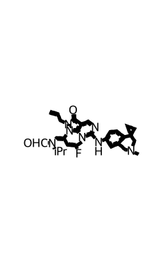 C=CCn1c(=O)c2cnc(Nc3ccc4c(c3)CN(C)CC43CC3)nc2n1C(/C=C(\C)F)=C/N(C=O)C(C)C